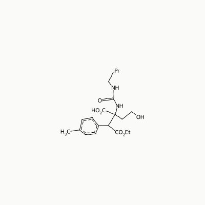 CCOC(=O)C(c1ccc(C)cc1)C(CCO)(NC(=O)NCC(C)C)C(=O)O